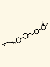 Fc1ccc(-c2ccc(CCC3CCC(C4CCC(OCOCC5CO5)CC4)CC3)cc2)cc1F